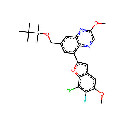 COc1cnc2c(-c3cc4cc(OC)c(F)c(Cl)c4o3)cc(CO[Si](C)(C)C(C)(C)C)cc2n1